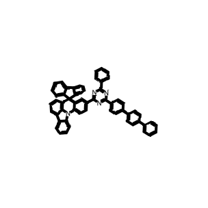 c1ccc(-c2ccc(-c3ccc(-c4nc(-c5ccccc5)nc(-c5ccc6c(c5)C5(c7ccccc7-c7ccccc75)c5cccc7c8ccccc8n-6c57)n4)cc3)cc2)cc1